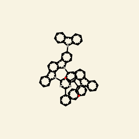 c1ccc(-c2ccc(-n3c4ccc(-n5c6ccccc6c6ccccc65)cc4c4ccc5c6ccccc6n(-c6nc(-c7ccccc7)nc(-c7cccc8c9ccccc9n(-c9ccccc9)c78)n6)c5c43)cc2)cc1